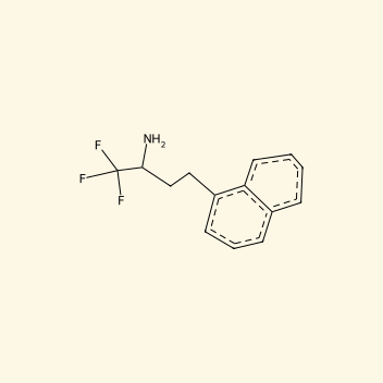 NC(CCc1cccc2ccccc12)C(F)(F)F